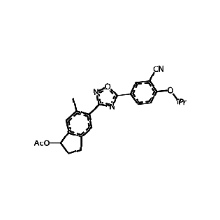 CC(=O)OC1CCc2cc(-c3noc(-c4ccc(OC(C)C)c(C#N)c4)n3)c(C)cc21